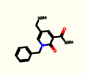 CNCc1cc(C(=O)NC)c(=O)n(Cc2ccccc2)c1